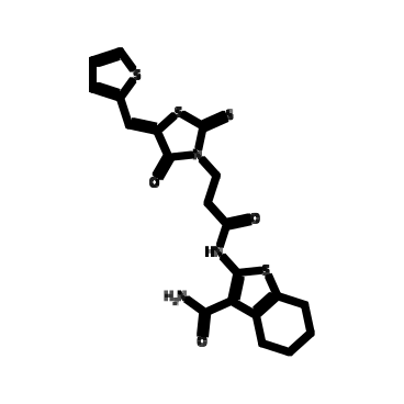 NC(=O)c1c(NC(=O)CCN2C(=O)/C(=C/c3cccs3)SC2=S)sc2c1CCCC2